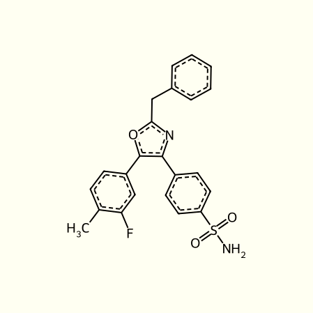 Cc1ccc(-c2oc(Cc3ccccc3)nc2-c2ccc(S(N)(=O)=O)cc2)cc1F